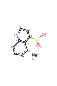 O=S([O-])c1ccnc2ccccc12.[Na+]